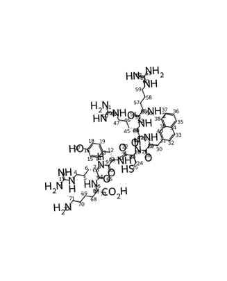 N=C(N)NCCC[C@H](NC(=O)[C@H](Cc1ccc(O)cc1)NC(=O)[C@H](CS)NC(=O)[C@H](Cc1ccc2ccccc2c1)NC(=O)[C@H](CCCNC(=N)N)NC(=O)[C@@H](N)CCCNC(=N)N)C(=O)N[C@@H](CCCCN)C(=O)O